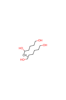 CC(O)CCCCO.OCCCCCCO